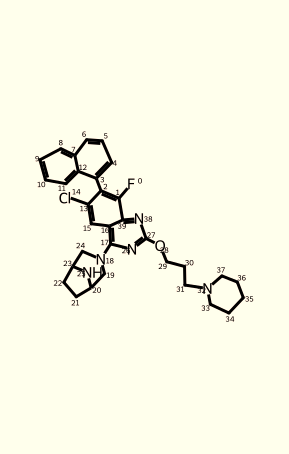 Fc1c(-c2cccc3ccccc23)c(Cl)cc2c(N3CC4CCC(C3)N4)nc(OCCCN3CCCCC3)nc12